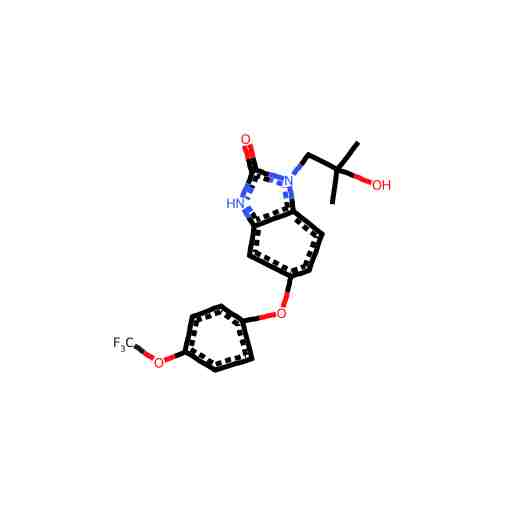 CC(C)(O)Cn1c(=O)[nH]c2cc(Oc3ccc(OC(F)(F)F)cc3)ccc21